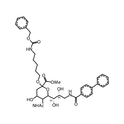 COC(=O)C1(OCCCCCNC(=O)OCc2ccccc2)CC(O)C(NC(C)=O)C([C@@H](O)[C@H](O)CNC(=O)c2ccc(-c3ccccc3)cc2)O1